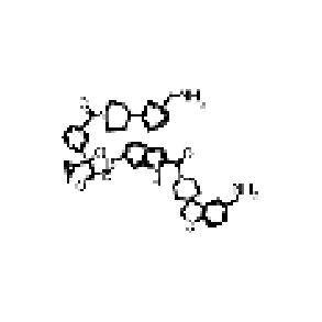 NCc1cccc(C2CCN(C(=O)c3cccc([C@@]4(C5CC5)OB(c5ccc6cc(C(=O)N7CCC8(CC7)COc7ccc(CN)cc78)[nH]c6c5)OC4=O)c3)CC2)c1